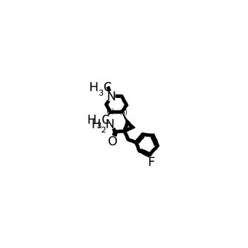 C[C@@H]1CN(C)CC[C@H]1C1CC1(Cc1cccc(F)c1)C(N)=O